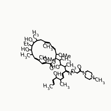 C/C=C/C(O)C(C)/C=C/C(=N/OCC(=O)N1CCN(C)CC1)C(C)C(O)C(C)C1OC(=O)/C(OC)=C/C(C)=C/C(C)C(O)C(CC)C(O)C(C)C/C(C)=C/C=C/C1OC